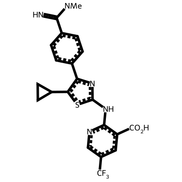 CNC(=N)c1ccc(-c2nc(Nc3ncc(C(F)(F)F)cc3C(=O)O)sc2C2CC2)cc1